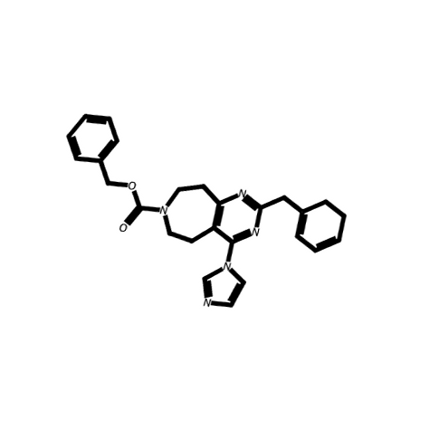 O=C(OCc1ccccc1)N1CCc2nc(CC3=CC=CCC3)nc(-n3ccnc3)c2CC1